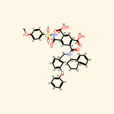 COc1ccc(S(=O)(=O)NC(=O)c2cc(C(=O)N(Cc3cccc(Oc4ccccc4)c3)[C@H]3CCCc4ccccc43)c(C(=O)O)cc2C(=O)O)cc1